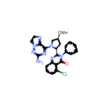 CO[C@H]1C[C@@H](c2nc3cccc(Cl)c3c(=O)n2-c2ccccc2)N(c2nc(N)nn3ccnc23)C1